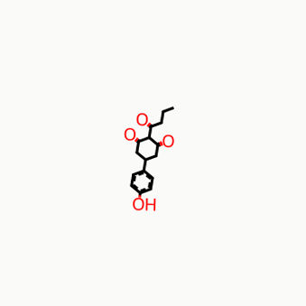 CCCC(=O)C1C(=O)CC(c2ccc(O)cc2)CC1=O